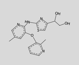 Cc1cnc(Nc2nc(C(O)CO)cs2)c(Oc2cccnc2C)c1